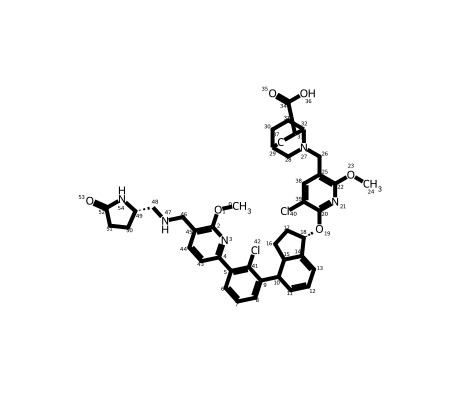 COc1nc(-c2cccc(C3C=CC=C4C3CC[C@@H]4Oc3nc(OC)c(CN4CC5CCC4C(C(=O)O)C5)cc3Cl)c2Cl)ccc1CNC[C@@H]1CCC(=O)N1